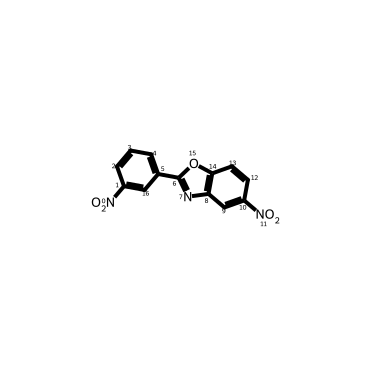 O=[N+]([O-])c1cccc(-c2nc3cc([N+](=O)[O-])ccc3o2)c1